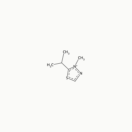 CC(C)c1scn[n+]1C